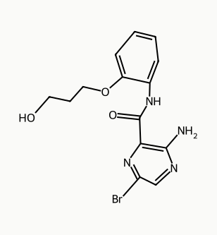 Nc1ncc(Br)nc1C(=O)Nc1ccccc1OCCCO